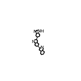 c1ccc2cc(-c3ccc4ncc(-c5ccc6[nH]cnc6c5)cc4c3)ncc2c1